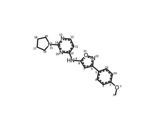 COc1ccc(-c2cc(Nc3ccnc(N4CCCC4)n3)on2)cc1